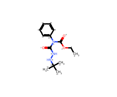 CCOC(=O)N(C(=O)NNC(C)(C)C)c1ccccc1